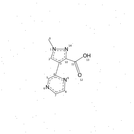 Cn1cc(-c2cnccn2)c(C(=O)O)n1